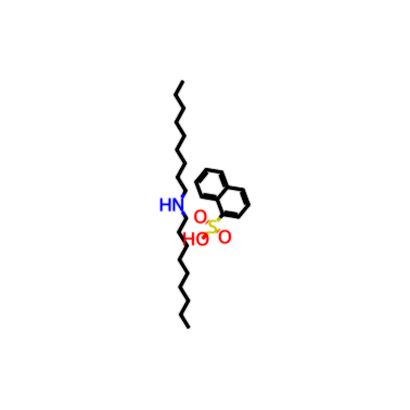 CCCCCCCCCNCCCCCCCCC.O=S(=O)(O)c1cccc2ccccc12